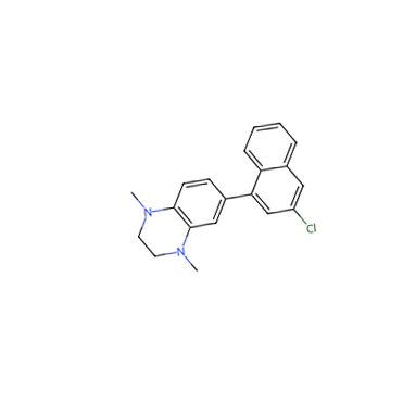 CN1CCN(C)c2cc(-c3cc(Cl)cc4ccccc34)ccc21